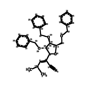 CN(C)C=C(C#N)C1O[C@H](COCc2ccccc2)[C@H](OCc2ccccc2)[C@H]1OCc1ccccc1